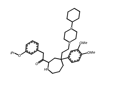 COc1ccc(C2(CCN3CCN(C4CCCCC4)CC3)CCCNC(C(=O)Cc3cccc(OC(C)C)c3)C2)cc1OC